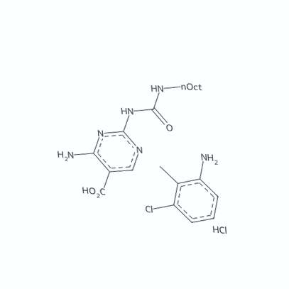 CCCCCCCCNC(=O)Nc1ncc(C(=O)O)c(N)n1.Cc1c(N)cccc1Cl.Cl